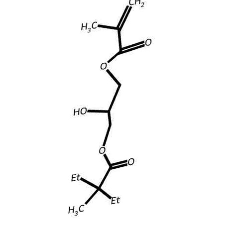 C=C(C)C(=O)OCC(O)COC(=O)C(C)(CC)CC